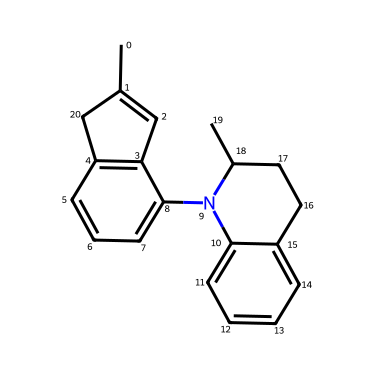 CC1=Cc2c(cccc2N2c3ccccc3CCC2C)C1